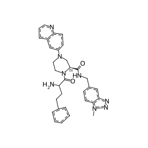 Cn1nnc2cc(CNC(=O)[C@@H]3CN(c4ccc5ncccc5c4)CCN3C(=O)C(N)CCc3ccccc3)ccc21